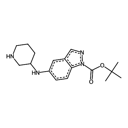 CC(C)(C)OC(=O)n1ncc2cc(NC3CCCNC3)ccc21